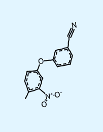 Cc1ccc(Oc2cccc(C#N)c2)cc1[N+](=O)[O-]